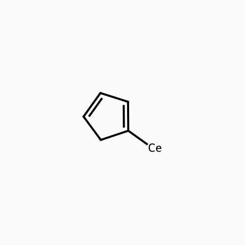 [Ce][C]1=CC=CC1